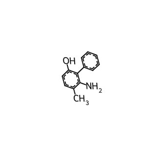 Cc1ccc(O)c(-c2ccccc2)c1N